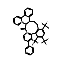 C=C1C2C(CCc3c(C(F)(F)F)cc(C(F)(F)F)c(C(F)(F)F)c3-c3cc(-c4ccccc4)cc[n+]31)c1ccccc1-c1cccc[n+]12